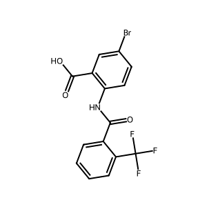 O=C(O)c1cc(Br)ccc1NC(=O)c1ccccc1C(F)(F)F